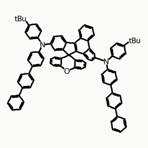 CC(C)(C)c1ccc(N(c2ccc(-c3ccc(-c4ccccc4)cc3)cc2)c2ccc3c(c2)C2(c4ccccc4Oc4ccccc42)c2c-3c3ccccc3c3cc(N(c4ccc(-c5ccc(-c6ccccc6)cc5)cc4)c4ccc(C(C)(C)C)cc4)ccc23)cc1